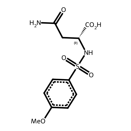 COc1ccc(S(=O)(=O)N[C@H](CC(N)=O)C(=O)O)cc1